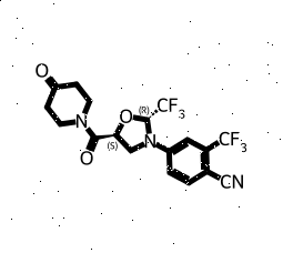 N#Cc1ccc(N2C[C@@H](C(=O)N3CCC(=O)CC3)O[C@@H]2C(F)(F)F)cc1C(F)(F)F